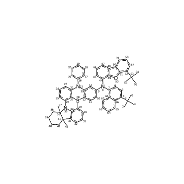 CC(C)(C)c1ccc(N(c2ccc3c(c2)N(c2ccccc2)c2cccc4c2B3c2cccc3c2N4C2(C)CCCCC32C)c2cccc3c2oc2c(C(C)(C)C)cccc23)c2ccccc12